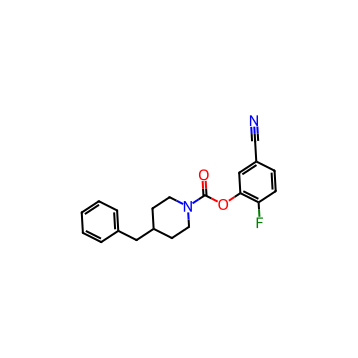 N#Cc1ccc(F)c(OC(=O)N2CCC(Cc3ccccc3)CC2)c1